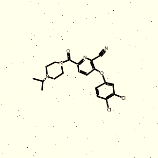 CC(C)N1CCN(C(=O)c2ccc(Oc3ccc(Cl)c(Cl)c3)c(C#N)n2)CC1